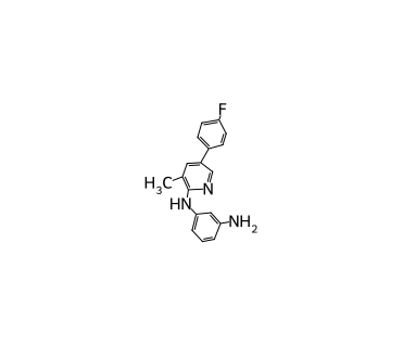 Cc1cc(-c2ccc(F)cc2)cnc1Nc1cccc(N)c1